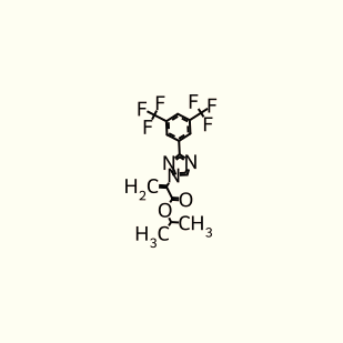 C=C(C(=O)OC(C)C)n1cnc(-c2cc(C(F)(F)F)cc(C(F)(F)F)c2)n1